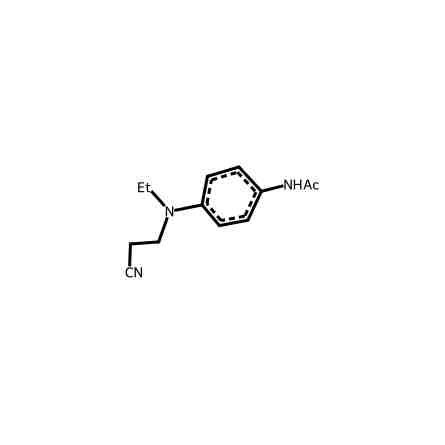 CCN(CCC#N)c1ccc(NC(C)=O)cc1